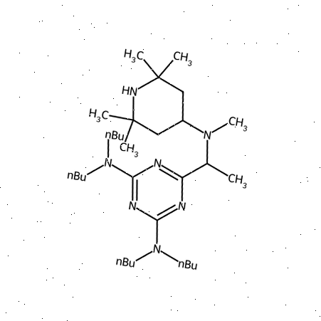 CCCCN(CCCC)c1nc(C(C)N(C)C2CC(C)(C)NC(C)(C)C2)nc(N(CCCC)CCCC)n1